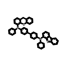 c1ccc(N(c2ccc(-c3ccc(N(c4ccccc4)c4cccc5c4sc4ccccc45)cc3)cc2)c2cccc3c2Sc2ccccc2C3)cc1